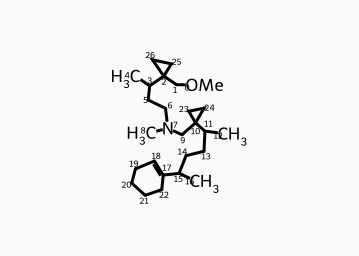 COCC1(C(C)CCN(C)CC2(C(C)CCC(C)C3=CCCCC3)CC2)CC1